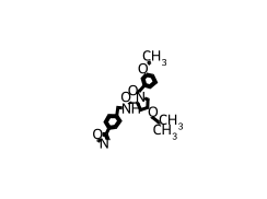 CCOc1cccc(C(=O)N2C[C@H](OCC(C)C)C[C@H]2C(=O)NCc2ccc(-c3cnco3)cc2)c1